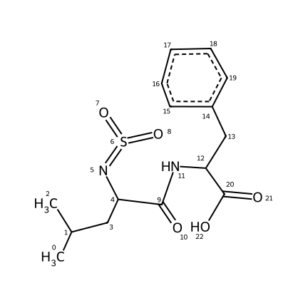 CC(C)CC(N=S(=O)=O)C(=O)NC(Cc1ccccc1)C(=O)O